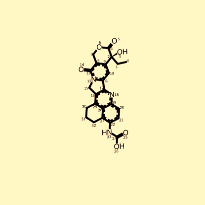 CC[C@@]1(O)C(=O)OCc2c1cc1n(c2=O)Cc2c-1nc1ccc(NC(=O)O)c3c1c2CCC3